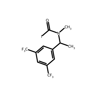 CC(c1cc(C(F)(F)F)cc(C(F)(F)F)c1)N(C)C(=O)I